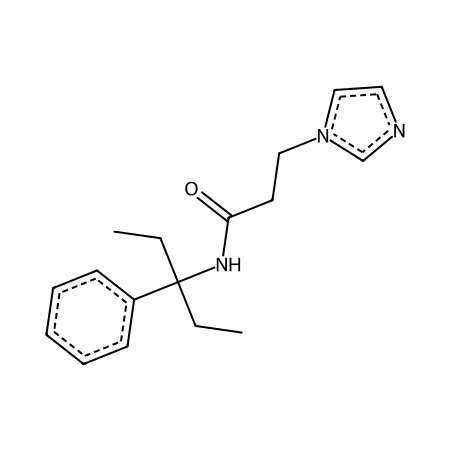 CCC(CC)(NC(=O)CCn1ccnc1)c1ccccc1